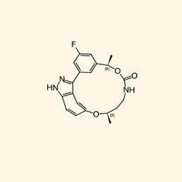 C[C@@H]1CCNC(=O)O[C@H](C)c2cc(F)cc(c2)-c2n[nH]c3ccc(cc23)O1